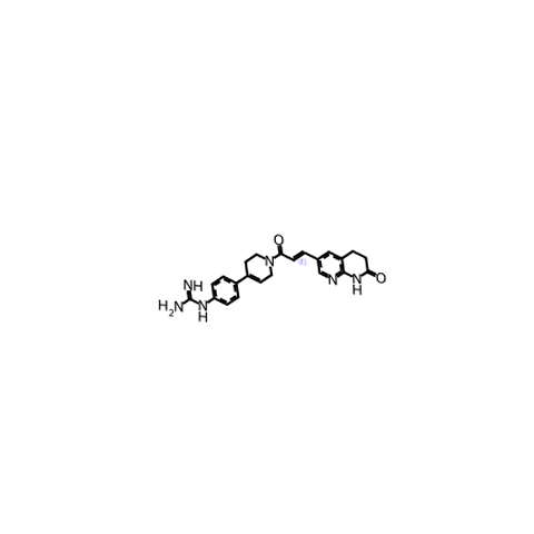 N=C(N)Nc1ccc(C2=CCN(C(=O)/C=C/c3cnc4c(c3)CCC(=O)N4)CC2)cc1